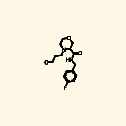 [O]CCCN1CCOCC1C(=O)NCc1ccc(F)cc1